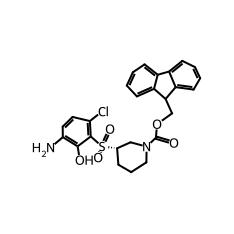 Nc1ccc(Cl)c(S(=O)(=O)[C@H]2CCCN(C(=O)OCC3c4ccccc4-c4ccccc43)C2)c1O